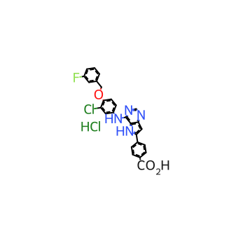 Cl.O=C(O)c1ccc(-c2cc3ncnc(Nc4ccc(OCc5cccc(F)c5)c(Cl)c4)c3[nH]2)cc1